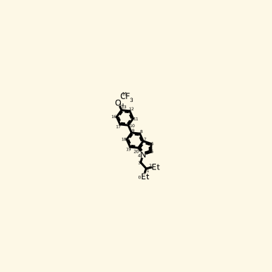 CCC(CC)Cn1c[c]c2cc(-c3ccc(OC(F)(F)F)cc3)ccc21